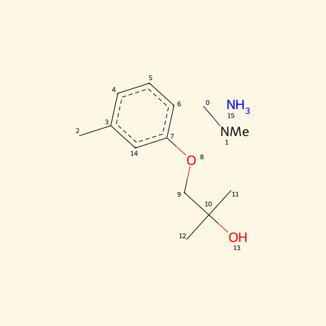 CNC.Cc1cccc(OCC(C)(C)O)c1.N